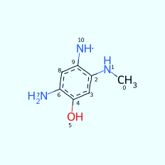 CNc1cc(O)c(N)cc1[NH]